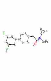 CCCN(C(=O)CC1CC=C(C2C=C(F)C=C(F)C2)CC1)C1CC1